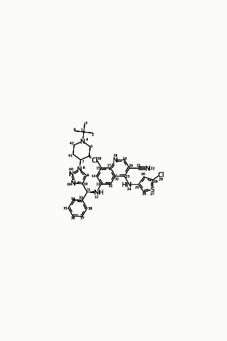 CC(C)(C)N1CCC(n2cc([C@@H](Nc3cc(Cl)c4ncc(C#N)c(Nc5csc(Cl)c5)c4c3)c3ccccc3)nn2)CC1